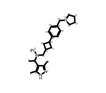 Cc1n[nH]c(C)c1C(C)N(CC1CC(c2ccc(CN3CCCC3)cc2)C1)C(C)C